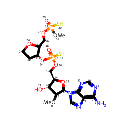 COC1[C@H](n2cnc3c(N)ncnc32)O[C@H](COP(=O)(S)O[C@H]2CCOC2COP(=O)(S)OC)[C@H]1O